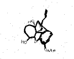 C=CCN1CC[C@@]23c4c5ccc(OC)c4OC2C(O)CC[C@]3(O)C1C5